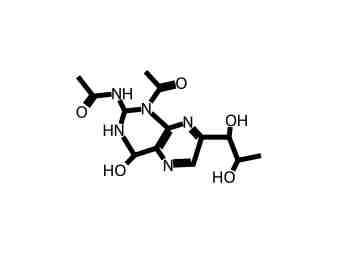 CC(=O)NC1NC(O)c2ncc(C(O)C(C)O)nc2N1C(C)=O